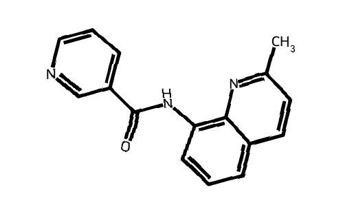 Cc1ccc2cccc(NC(=O)c3cccnc3)c2n1